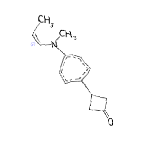 C/C=C\N(C)c1ccc(C2CC(=O)C2)cc1